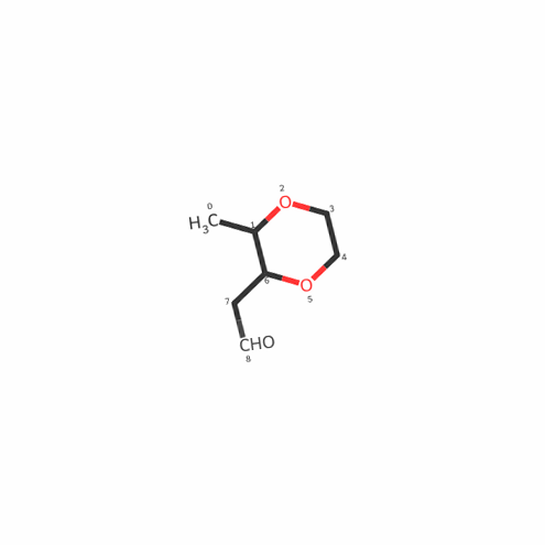 CC1OCCOC1CC=O